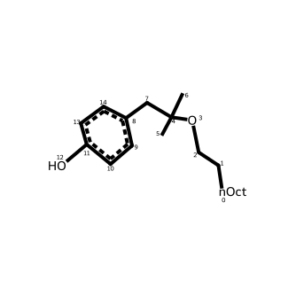 CCCCCCCCCCOC(C)(C)Cc1ccc(O)cc1